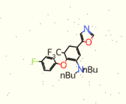 CCCCN(CCCC)C1=C(Oc2ccc(F)cc2)C(C(F)(F)F)CC(c2cnco2)=C1